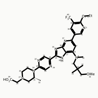 CCOc1ncc(-c2cc(N(C)CC(C)(C)COC)c3[nH]c(-c4cnc(N5CCN(CC(=O)O)C[C@H]5C)cn4)nc3n2)cc1C(F)(F)F